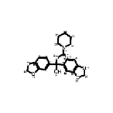 O=C(OC(O)(c1ccc2c(c1)OCO2)c1ccc2c(c1)OCO2)N1CCCCC1